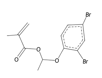 C=C(C)C(=O)OC(C)Oc1ccc(Br)cc1Br